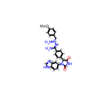 COc1ccc(CN(N)/N=C(\N)c2ccc(C3C(=O)NC(=O)N3c3ccc4[nH]cnc4c3)cc2)cc1